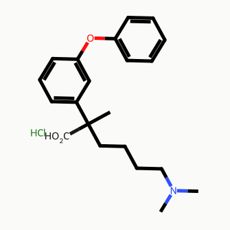 CN(C)CCCCC(C)(C(=O)O)c1cccc(Oc2ccccc2)c1.Cl